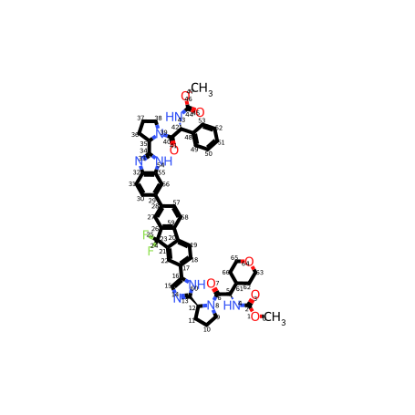 COC(=O)N[C@H](C(=O)N1CCC[C@H]1c1ncc(-c2ccc3c(c2)C(F)(F)c2cc(-c4ccc5nc(C6CCCN6C(=O)[C@H](NC(=O)OC)c6ccccc6)[nH]c5c4)ccc2-3)[nH]1)C1CCOCC1